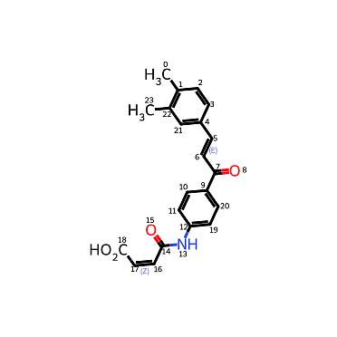 Cc1ccc(/C=C/C(=O)c2ccc(NC(=O)/C=C\C(=O)O)cc2)cc1C